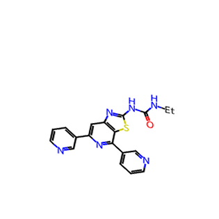 CCNC(=O)Nc1nc2cc(-c3cccnc3)nc(-c3cccnc3)c2s1